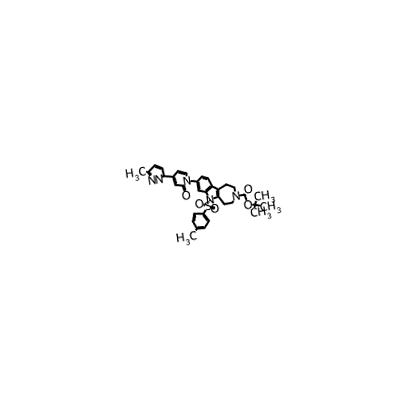 Cc1ccc(S(=O)(=O)n2c3c(c4ccc(-n5ccc(-c6ccc(C)nn6)cc5=O)cc42)CCN(C(=O)OC(C)(C)C)CC3)cc1